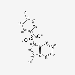 Cc1ccc(S(=O)(=O)n2cc(I)c3ccncc32)cc1